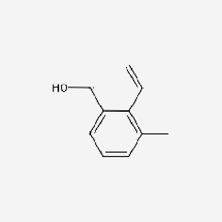 C=Cc1c(C)cccc1[CH]O